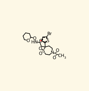 CS(=O)(=O)N1CCC(CC(=O)NOC2CCCCO2)(c2ccc(Br)s2)S(=O)(=O)CC1